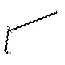 CCCCC=CCCCCCCCC(=O)OCCCCCCCCCCCCCCCCCCCCC(C)C